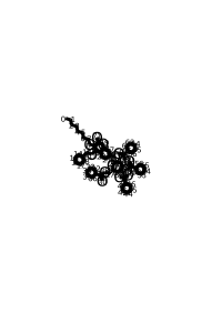 CCCCCCCCOc1c(OCc2ccccc2)c2ccc(O[C@@H]3O[C@H](COC(=O)c4ccccc4)[C@@H](OC(=O)c4ccccc4)[C@H](OC(=O)c4ccccc4)[C@H]3OC(=O)c3ccccc3)cc2oc1=O